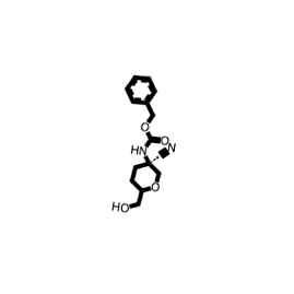 N#C[C@@]1(NC(=O)OCc2ccccc2)CCC(CO)OC1